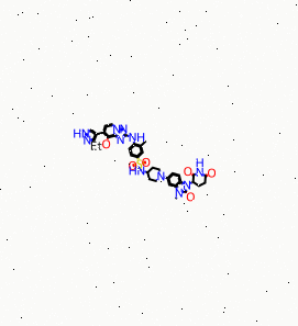 CCOc1c(-c2cn[nH]c2)ccn2nc(Nc3ccc(S(=O)(=O)NC4CCN(c5ccc6c(c5)n(C)c(=O)n6C5CCC(=O)NC5=O)CC4)cc3C)nc12